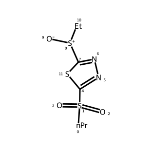 CCCS(=O)(=O)c1nnc([S+]([O-])CC)s1